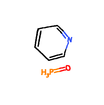 O=[PH3].c1ccncc1